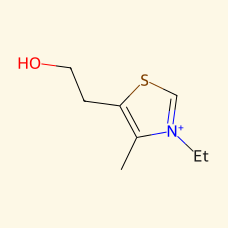 CC[n+]1csc(CCO)c1C